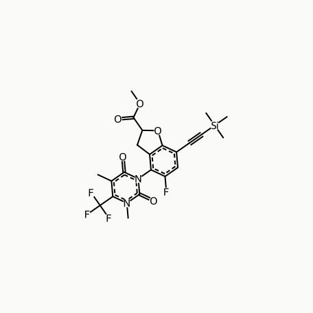 COC(=O)C1Cc2c(c(C#C[Si](C)(C)C)cc(F)c2-n2c(=O)c(C)c(C(F)(F)F)n(C)c2=O)O1